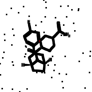 NC(=O)C1CCN(C(=O)N2[C@@H]3CC[C@H]2C[C@@H](c2ccc(F)cc2)C3)CC1